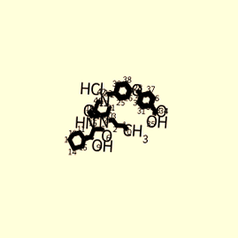 CCCCN1C(=O)[C@@H]([C@H](O)C2CCCCC2)NC(=O)C12CCN(Cc1ccc(Oc3ccc(C(=O)O)cc3)cc1)CC2.Cl